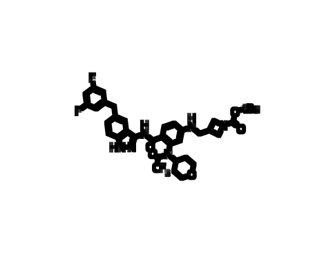 CC(C)(C)OC(=O)N1CC(CNc2ccc(C(=O)Nc3n[nH]c4ccc(Cc5cc(F)cc(F)c5)cc34)c(N(C(=O)C(F)(F)F)C3CCOCC3)c2)C1